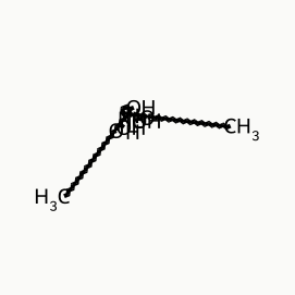 CCCCCCCCCCCCCCCCCCCCCCCOCC(O)CNc1cccc(O)c1NCC(O)COCCCCCCCCCCCCCCCCCCCCCCC